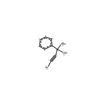 CC(=O)C#CC(O)(c1ccccc1)C(C)(C)C